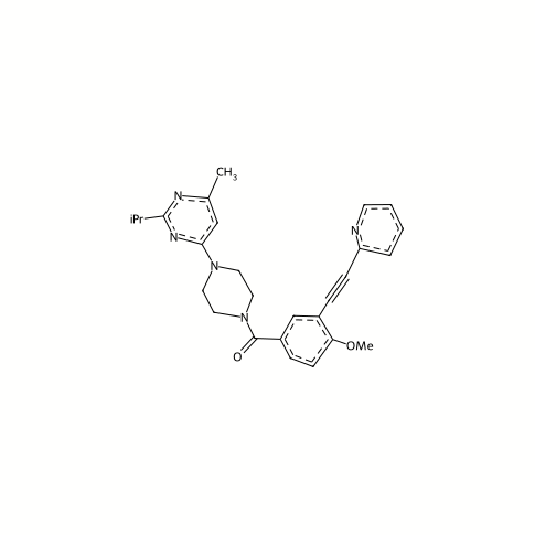 COc1ccc(C(=O)N2CCN(c3cc(C)nc(C(C)C)n3)CC2)cc1C#Cc1ccccn1